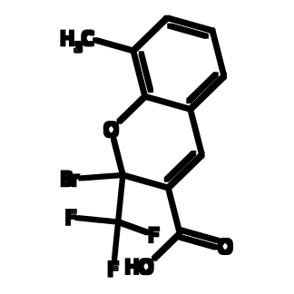 Cc1cccc2c1OC(Br)(C(F)(F)F)C(C(=O)O)=C2